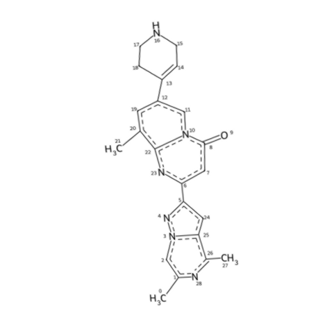 Cc1cn2nc(-c3cc(=O)n4cc(C5=CCNCC5)cc(C)c4n3)cc2c(C)n1